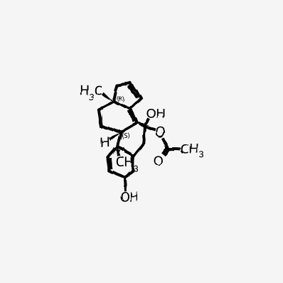 CC(=O)OC1(O)CC2CC(O)C=C[C@]2(C)[C@@H]2CC[C@]3(C)CC=CC3=C21